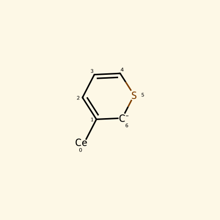 [Ce][C]1=CC=CS[CH-]1